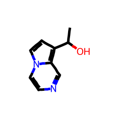 CC(O)c1ccn2ccncc12